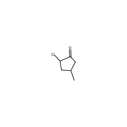 CC1CC(=O)C(Cl)C1